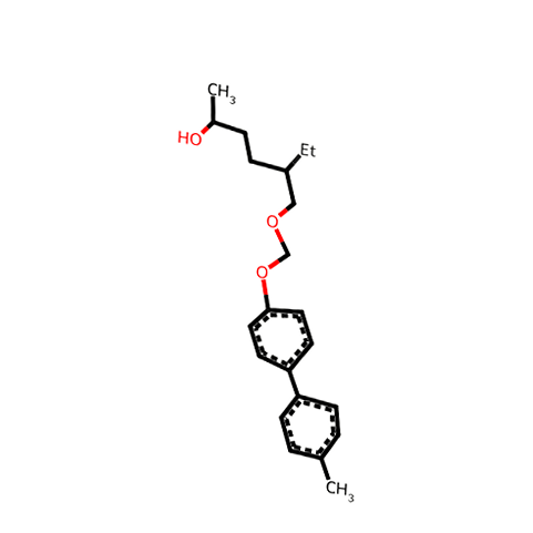 CCC(CCC(C)O)COCOc1ccc(-c2ccc(C)cc2)cc1